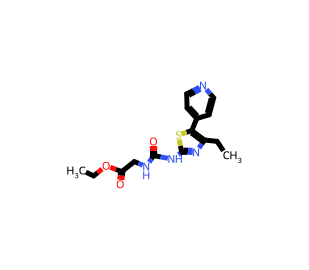 CCOC(=O)CNC(=O)Nc1nc(CC)c(-c2ccncc2)s1